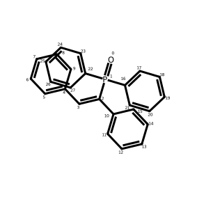 O=P(C(=Cc1ccccc1)c1ccccc1)(c1ccccc1)c1ccccc1